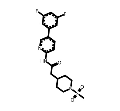 CS(=O)(=O)N1CCC(CC(=O)Nc2ccc(-c3cc(F)cc(F)c3)cn2)CC1